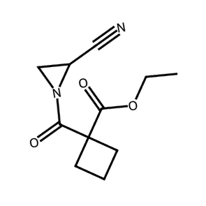 CCOC(=O)C1(C(=O)N2CC2C#N)CCC1